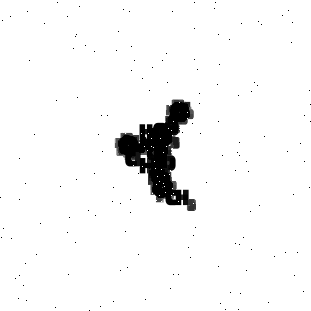 Cc1ccc2nc(NC(=O)OC[C@H](CC(=O)OCc3ccccc3)N(C)C(=O)NCc3ccccc3Cl)sc2c1